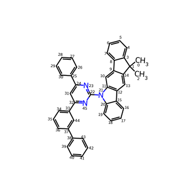 CC1(C)c2ccccc2-c2cc3c(cc21)c1ccccc1n3-c1nc(-c2ccccc2)cc(-c2cccc(-c3ccccc3)c2)n1